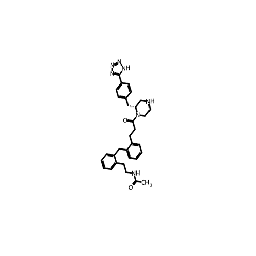 CC(=O)NCCc1ccccc1Cc1ccccc1CCC(=O)N1CCNC[C@H]1Cc1ccc(-c2nnn[nH]2)cc1